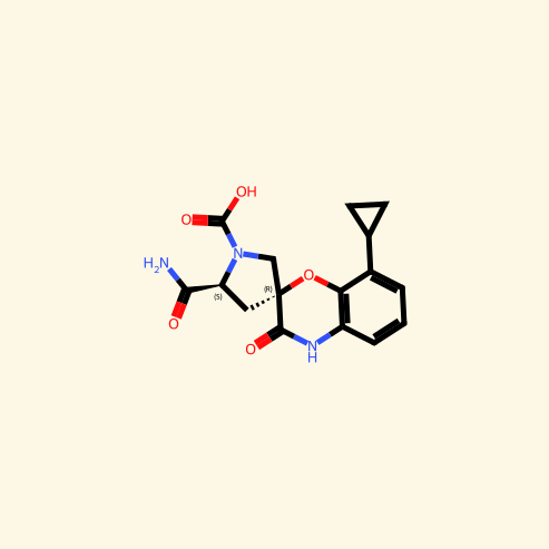 NC(=O)[C@@H]1C[C@]2(CN1C(=O)O)Oc1c(cccc1C1CC1)NC2=O